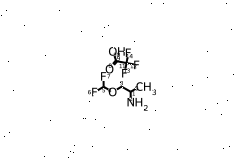 CC(N)COC(F)F.O=C(O)C(F)(F)F